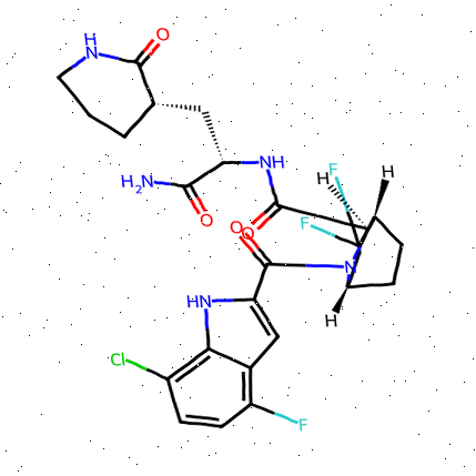 NC(=O)[C@H](C[C@@H]1CCCNC1=O)NC(=O)[C@H]1[C@@H]2CC[C@@H](CC2(F)F)N1C(=O)c1cc2c(F)ccc(Cl)c2[nH]1